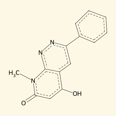 Cn1c(=O)cc(O)c2cc(-c3ccccc3)nnc21